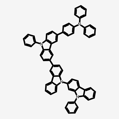 c1ccc(N(c2ccccc2)c2ccc(-c3ccc4c(c3)c3cc(-c5ccc6c(c5)c5ccccc5n6-c5ccc6c7ccccc7n(-c7ccccc7)c6c5)ccc3n4-c3ccccc3)cc2)cc1